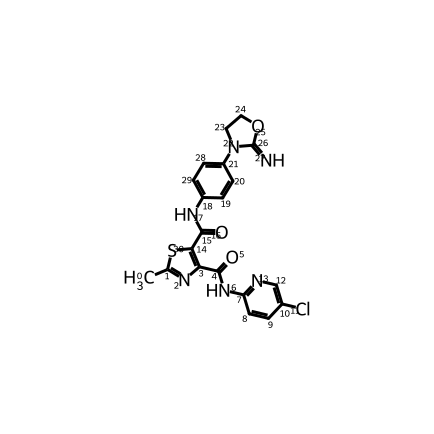 Cc1nc(C(=O)Nc2ccc(Cl)cn2)c(C(=O)Nc2ccc(N3CCOC3=N)cc2)s1